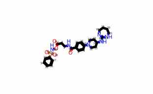 O=C(CCNC(=O)c1ccc(N2CCC(NC3=NCCCCN3)CC2)cc1)ONS(=O)(=O)c1ccccc1